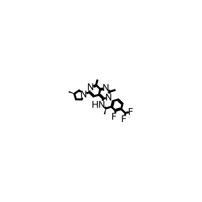 Cc1nc(N[C@H](C)c2cccc(C(F)F)c2F)c2cc(N3CC[C@@H](C)C3)nc(C)c2n1